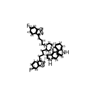 Fc1ccc2c(CCCC3C[N+](c4cccc5[nH]ccc45)(c4cccc5[nH]ccc45)CCN3CCCc3noc4cc(F)ccc34)noc2c1